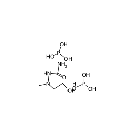 CN(CCO)NC(N)=O.OP(O)O.OP(O)O